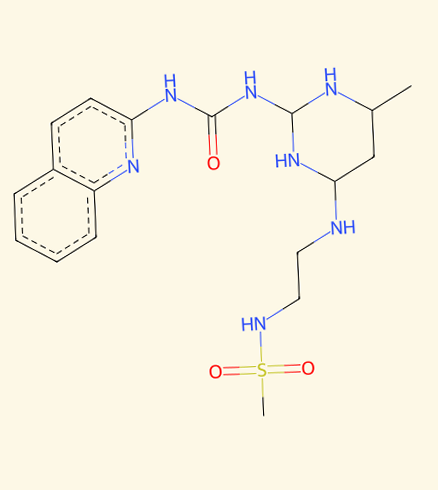 CC1CC(NCCNS(C)(=O)=O)NC(NC(=O)Nc2ccc3ccccc3n2)N1